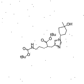 CC1(O)CCC(n2cnc(CC(CCCNC(=O)OC(C)(C)C)C(=O)OC(C)(C)C)c2)CC1